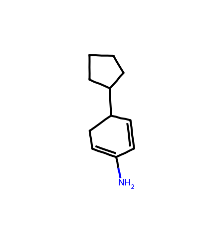 NC1=CCC(C2CCCC2)C=C1